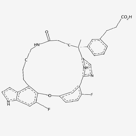 CC1(c2cccc(CCC(=O)O)c2)CCC(=O)NCCCCc2c(c(F)cc3[nH]ccc23)Oc2ccc(F)c(c2)-c2ncc1[nH]2